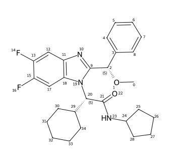 CO[C@@H](c1ccccc1)c1nc2cc(F)c(F)cc2n1[C@H](C(=O)NC1CCCC1)C1CCCCC1